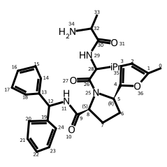 Cc1ccc([C@H]2CC[C@@H](C(=O)NC(c3ccccc3)c3ccccc3)N2C(=O)C(NC(=O)C(C)N)C(C)C)o1